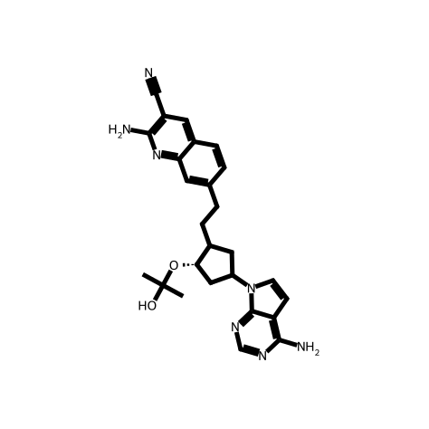 CC(C)(O)O[C@H]1CC(n2ccc3c(N)ncnc32)CC1CCc1ccc2cc(C#N)c(N)nc2c1